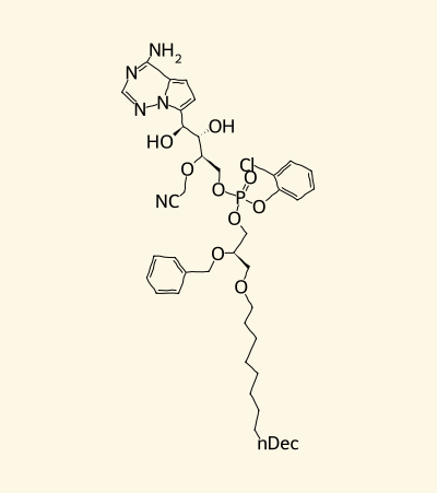 CCCCCCCCCCCCCCCCCCOC[C@H](COP(=O)(OC[C@@H](OCC#N)[C@@H](O)[C@@H](O)c1ccc2c(N)ncnn12)Oc1ccccc1Cl)OCc1ccccc1